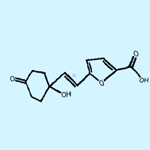 O=C1CCC(O)(/C=C/c2ccc(C(=O)O)o2)CC1